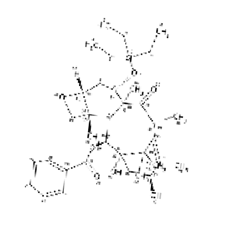 CC[Si](CC)(CC)O[C@H]1C[C@H]2OC[C@@]2(C)C2[C@H](OC(=O)c3ccccc3)[C@]3(O)C[C@H](O)C(C)=C([C@@H](C)C(=O)[C@@]21C)C3(C)C